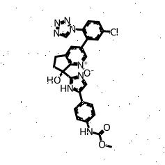 COC(=O)Nc1ccc(-c2cnc(C3(O)CCc4cc(-c5cc(Cl)ccc5-n5cnnn5)c[n+]([O-])c43)[nH]2)cc1